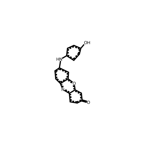 O=c1ccc2nc3ccc(Nc4ccc(O)cc4)cc3oc-2c1